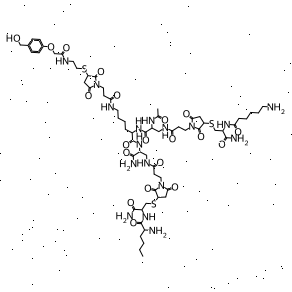 CCCCC(N)C(=O)NC(CSC1CC(=O)N(CCC(=O)NCC(NC(=O)C(CCCCNC(=O)CCN2C(=O)CC(SCCNC(=O)COc3ccc(CO)cc3)C2=O)NC(=O)C(CNC(=O)CCN2C(=O)CC(SCC(NC(=O)CCCCCN)C(N)=O)C2=O)NC(C)=O)C(N)=O)C1=O)C(N)=O